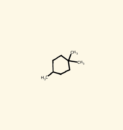 CC1CCC(C)(C)CC1